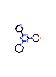 c1cncc(-c2nc(N3CCCCCC3)nc(N3CCOCC3)n2)c1